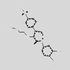 CC(C)OCCOc1c(-c2ccc(S(N)(=O)=O)cc2)cnn(-c2ccc(F)c(F)c2)c1=O